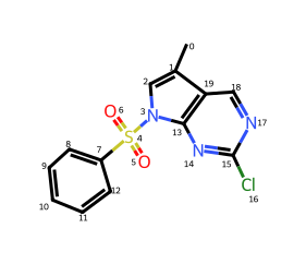 Cc1cn(S(=O)(=O)c2ccccc2)c2nc(Cl)ncc12